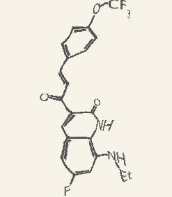 CCNc1cc(F)cc2cc(C(=O)C=Cc3ccc(OC(F)(F)F)cc3)c(=O)[nH]c12